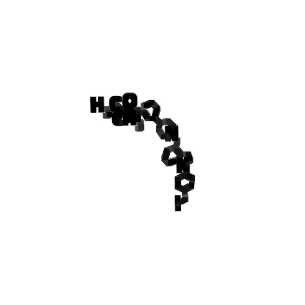 CC(C)C(=O)Nc1cccc(C2CCN(Cc3cccc4c3ccn4-c3ccc(CI)cc3)CC2)c1